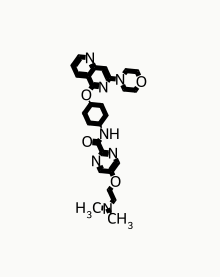 CN(C)CCOc1cnc(C(=O)N[C@H]2CC[C@@H](Oc3nc(N4CCOCC4)cc4ncccc34)CC2)nc1